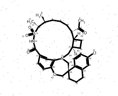 CC(=O)[C@H]1CCC[C@H](C)[C@@H](C)S(=O)(=O)NC(=O)c2ccc3c(c2)N(C[C@@H]2CC[C@H]21)C[C@@]1(CCCc2cc(Cl)ccc21)CO3